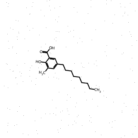 CCCCCCCCCc1cc(C)c(O)c(C(=O)O)c1